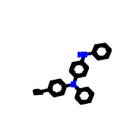 CC(C)(C)c1ccc(N(c2ccccc2)c2ccc(Nc3ccccc3)cc2)cc1